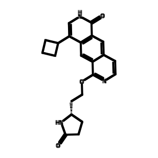 O=C1CC[C@@H](CCOc2nccc3cc4c(=O)[nH]cc(C5CCC5)c4cc23)N1